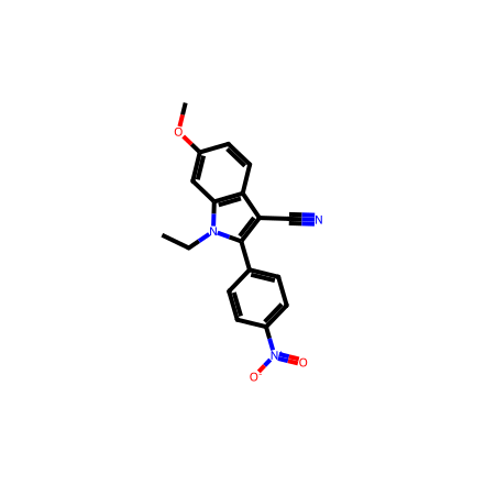 CCn1c(-c2ccc([N+](=O)[O-])cc2)c(C#N)c2ccc(OC)cc21